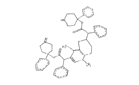 CC1C=C(C(C(=O)OC2(c3ccccc3)CCNCC2)c2ccccc2)C(C)C2=C1CCC(C(C(=O)OC1(c3ccccc3)CCNCC1)c1ccccc1)C2